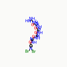 Cn1cc(NC(=O)c2ccc(N(CCBr)CCBr)cc2)cc1C(=O)Nc1cc(C(=O)Nc2cc(C(=O)Nc3cc(C(=O)NCCC(=N)N)n(C)n3)n(C)c2)n(C)c1